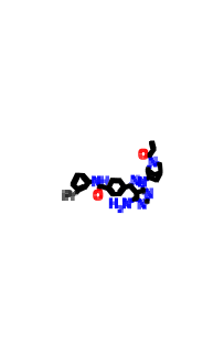 C=CC(=O)N1CC2CC1C(n1nc(-c3ccc(C(=O)Nc4cccc(C(C)C)c4)cc3)c3c(N)ncnc31)C2